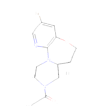 CCCC(=O)N1CCN2c3ncc(Br)cc3OCC[C@H]2C1